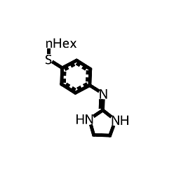 CCCCCCSc1ccc(N=C2NCCN2)cc1